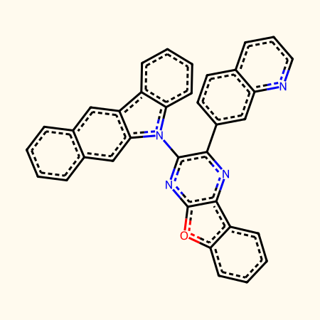 c1ccc2cc3c(cc2c1)c1ccccc1n3-c1nc2oc3ccccc3c2nc1-c1ccc2cccnc2c1